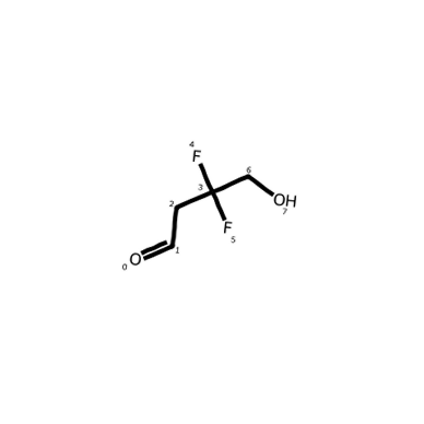 O=CCC(F)(F)CO